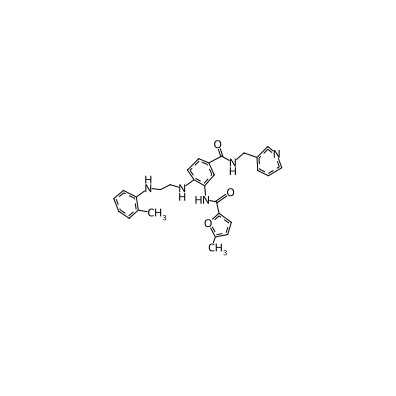 Cc1ccc(C(=O)Nc2cc(C(=O)NCc3cccnc3)ccc2NCCNc2ccccc2C)o1